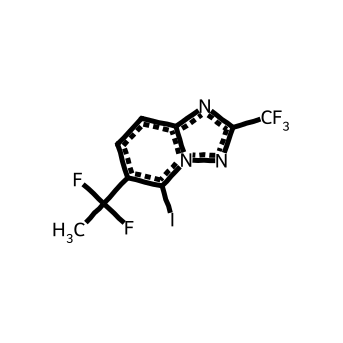 CC(F)(F)c1ccc2nc(C(F)(F)F)nn2c1I